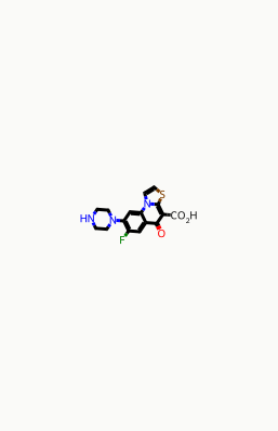 O=C(O)c1c(=O)c2cc(F)c(N3CCNCC3)cc2n2ccsc12